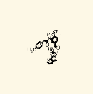 CN1CCN(CC(=O)Nc2cc(C(=O)Nc3nnc(-c4ncccc4F)s3)ccc2OC(F)(F)F)CC1